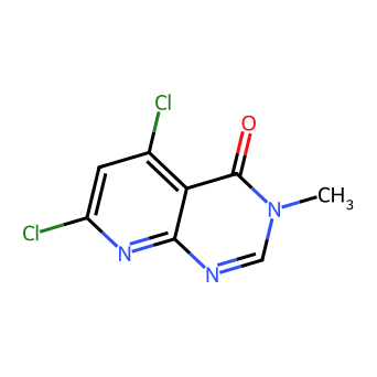 Cn1cnc2nc(Cl)cc(Cl)c2c1=O